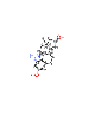 COc1ccc2c(c1)CCC1=C3C[C@@H](O)C[C@@]3(C)CC[C@@]12N